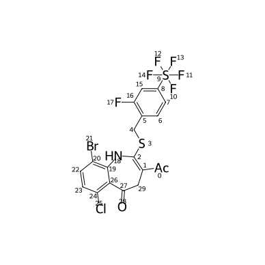 CC(=O)C1=C(SCc2ccc(S(F)(F)(F)(F)F)cc2F)Nc2c(Br)ccc(Cl)c2C(=O)C1